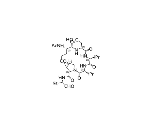 CCC(C=O)NC(=O)[C@@H]1C2CC2CN1C(=O)[C@@H](NC(=O)[C@@H](NC(=O)[C@H](CC(=O)O)NC(=O)[C@H](CCC(=O)O)NC(C)=O)C(C)C)C(C)C